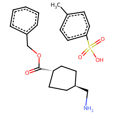 Cc1ccc(S(=O)(=O)O)cc1.NC[C@H]1CC[C@H](C(=O)OCc2ccccc2)CC1